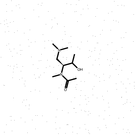 CC(=O)N(C)[C@@H](CN(C)C)C(C)O